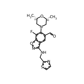 C[C@@H]1CN(c2c(C=O)cc3c(NCc4nccs4)noc3c2F)C[C@H](C)O1